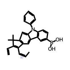 C=CC1=C(/C=C\C)c2cc3c4cc(B(O)O)ccc4n(-c4ccccc4)c3cc2C1(C)C